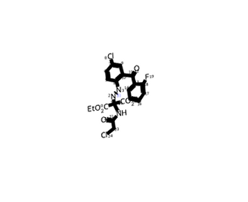 CCOC(=O)C(/N=N/c1ccc(Cl)cc1C(=O)c1ccccc1F)(NC(=O)CCl)C(=O)OCC